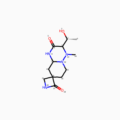 C[C@@H](O)C1C(=O)NC2CC3(CCN2N1C)CNC3=O